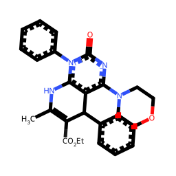 CCOC(=O)C1=C(C)Nc2c(c(N3CCOCC3)nc(=O)n2-c2ccccc2)C1c1ccccc1